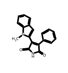 Cn1c(C2=C(c3ccccc3)C(=O)NC2=O)cc2ccccc21